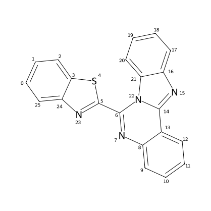 c1ccc2sc(-c3nc4ccccc4c4nc5ccccc5n34)nc2c1